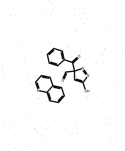 O=CC1(C(=O)c2ccccc2)C=C(O)N=N1.c1ccc2ncccc2c1